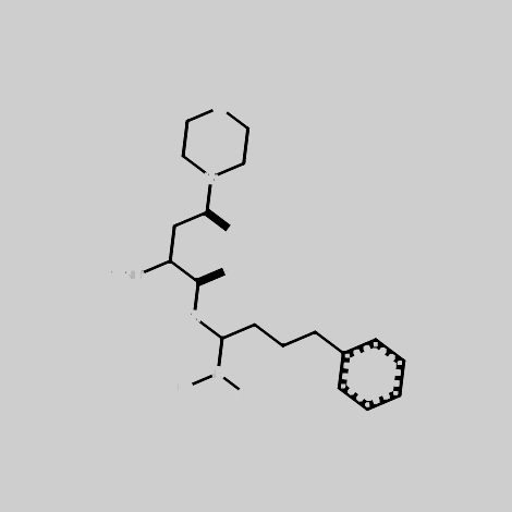 CC(=O)NC(CC(=O)N1CCOCC1)C(=O)NC(CCCc1ccccc1)B(O)O